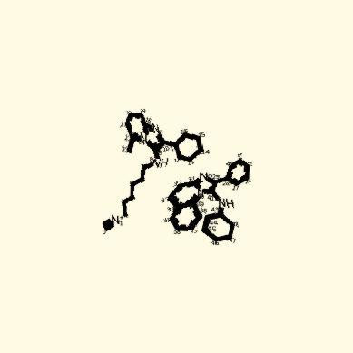 C#[N+]CCCCCCNc1c(C2CCCCC2)nc2cccc(C)n12.c1ccc(-c2nc3ccc4ccccc4n3c2NC2CCCCC2)cc1